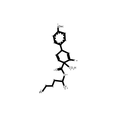 CCCCCCCCCCc1ccc(C2C=CC(C(=O)O)(C(=O)OC(CCCC(C)C)C(F)(F)F)C(F)=C2)cc1